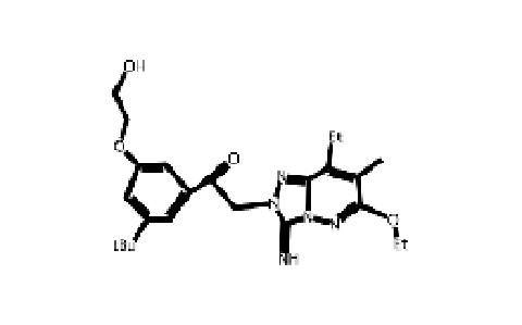 CCOc1nn2c(=N)n(CC(=O)c3cc(OCCO)cc(C(C)(C)C)c3)nc2c(CC)c1C